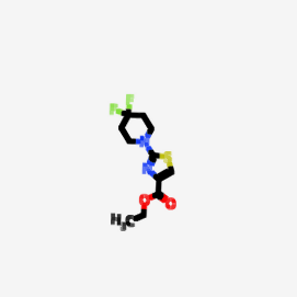 CCOC(=O)c1csc(N2CCC(F)(F)CC2)n1